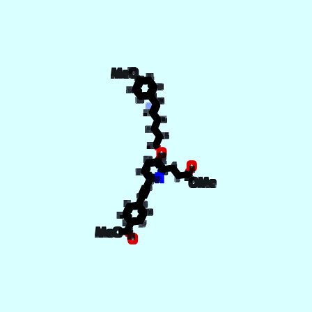 COC(=O)CCc1nc(C#Cc2ccc(C(=O)OC)cc2)ccc1OCCCC/C=C/c1ccc(OC)cc1